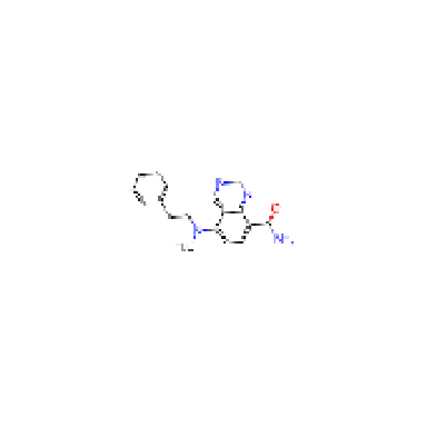 CN(CCc1ccccc1)c1ccc(C(N)=O)c2ncncc12